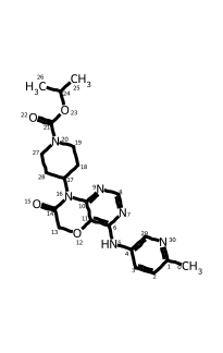 Cc1ccc(Nc2ncnc3c2OCC(=O)N3C2CCN(C(=O)OC(C)C)CC2)cn1